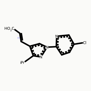 CC(C)c1nn(-c2ccc(Cl)cn2)cc1/C=C/C(=O)O